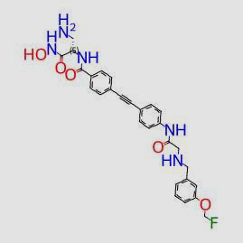 NC[C@H](NC(=O)c1ccc(C#Cc2ccc(NC(=O)CNCc3cccc(OCF)c3)cc2)cc1)C(=O)NO